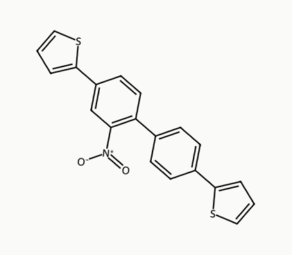 O=[N+]([O-])c1cc(-c2cccs2)ccc1-c1ccc(-c2cccs2)cc1